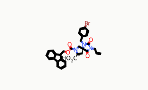 C=CCN1C(=O)N(Cc2ccc(Br)cc2)[C@]2(C[C@@H](C(=O)O)N(C(=O)OCC3c4ccccc4-c4ccccc43)C2)C1=O